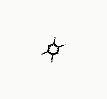 Clc1cc(Cl)c(I)cc1Cl